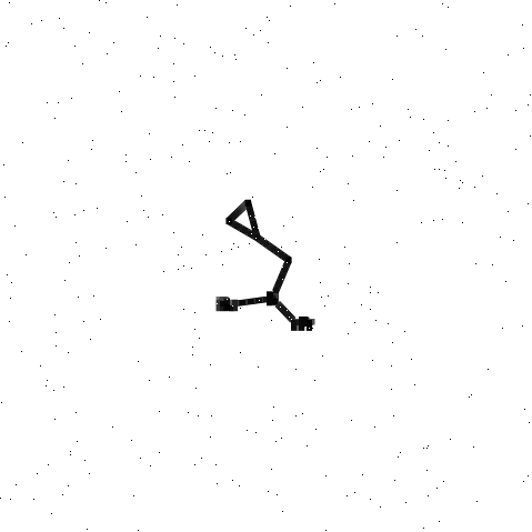 CCCN(CC1CC1)C(C)CC